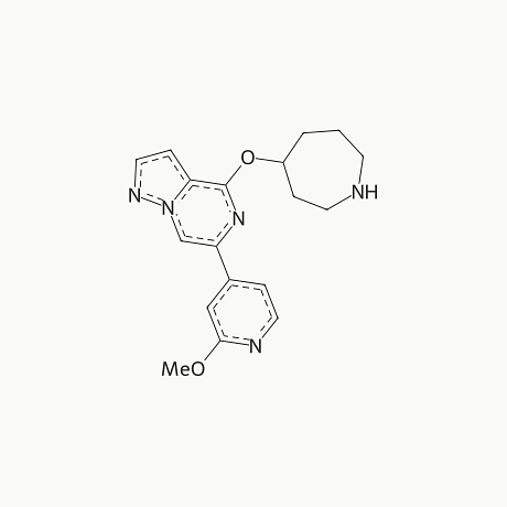 COc1cc(-c2cn3nccc3c(OC3CCCNCC3)n2)ccn1